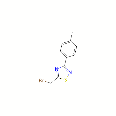 Cc1ccc(-c2nsc(CBr)n2)cc1